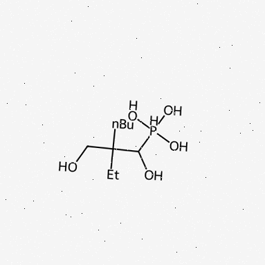 CCCCC(CC)(CO)C(O)[PH](O)(O)O